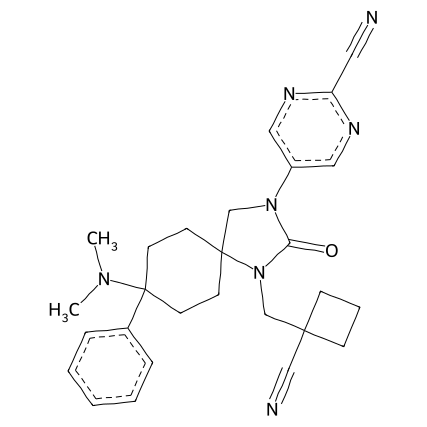 CN(C)C1(c2ccccc2)CCC2(CC1)CN(c1cnc(C#N)nc1)C(=O)N2CC1(C#N)CCC1